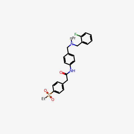 CCCN(Cc1ccc(NC(=O)Cc2ccc(S(=O)(=O)CC)cc2)cc1)Cc1ccccc1F